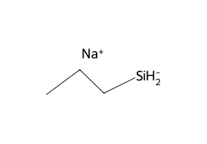 CCC[SiH2-].[Na+]